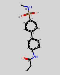 CCC(=O)Nc1ccc(-c2ccc(S(=O)(=O)NC)cc2)cc1